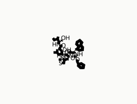 CCC(C)[C@@H](CO)NC(=O)CC(O)C(CC(C)C)NC(=O)[C@H](CC1CSCN1)NC(=O)[C@H](Cc1cccc2ccccc12)NC(=O)OCc1ccccc1